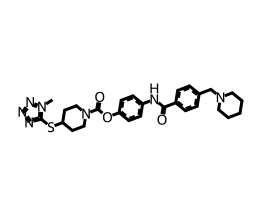 Cn1nnnc1SC1CCN(C(=O)Oc2ccc(NC(=O)c3ccc(CN4CCCCC4)cc3)cc2)CC1